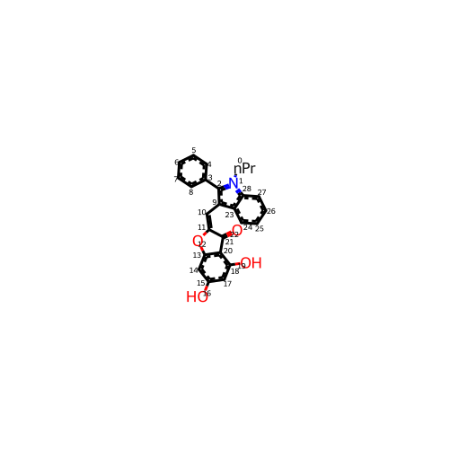 CCCn1c(-c2ccccc2)c(C=C2Oc3cc(O)cc(O)c3C2=O)c2ccccc21